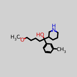 COCCCCC(O)(c1cccc(C)c1)C1CCCNC1